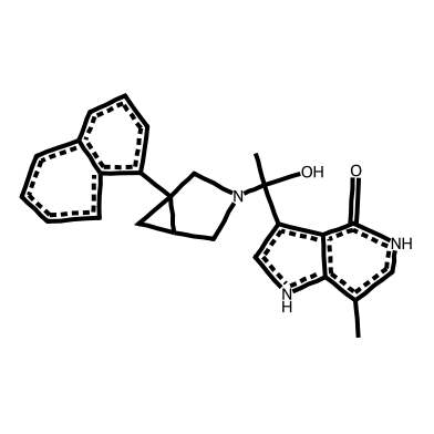 Cc1c[nH]c(=O)c2c(C(C)(O)N3CC4CC4(c4cccc5ccccc45)C3)c[nH]c12